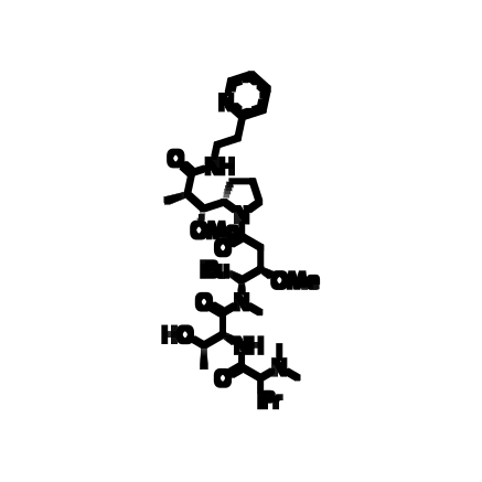 CC[C@H](C)[C@@H]([C@@H](CC(=O)N1CCC[C@H]1[C@H](OC)[C@@H](C)C(=O)NCCc1ccccn1)OC)N(C)C(=O)[C@@H](NC(=O)C(C(C)C)N(C)C)[C@@H](C)O